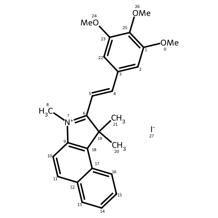 COc1cc(C=CC2=[N+](C)c3ccc4ccccc4c3C2(C)C)cc(OC)c1OC.[I-]